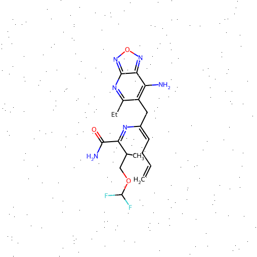 C=CC/C=C(Cc1c(CC)nc2nonc2c1N)\N=C(\C(N)=O)C(C)COC(F)F